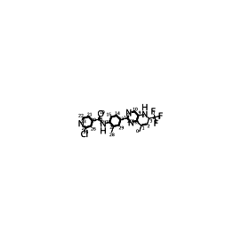 CC1=CC(C(F)(F)F)Nc2cnc(-c3ccc(NC(=O)c4ccnc(Cl)c4)c(C)c3)nc21